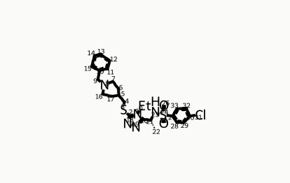 CCn1c(SCC2CCN(Cc3ccccc3)CC2)nnc1[C@@H](C)NS(=O)(=O)c1ccc(Cl)cc1